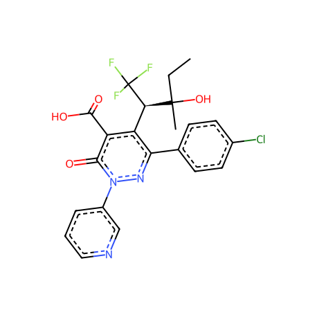 CCC(C)(O)[C@@H](c1c(-c2ccc(Cl)cc2)nn(-c2cccnc2)c(=O)c1C(=O)O)C(F)(F)F